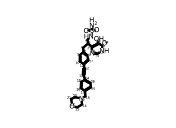 NS(=O)(=O)NCC(Cc1ccc(C#Cc2ccc(CN3CCOCC3)cc2)cc1)c1nc[nH]c(=O)c1O